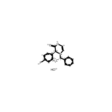 C[C@@H](c1ccccc1)N1C=COC(=O)[C@@H]1c1ccc(F)cc1.Cl